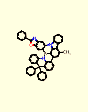 Cc1cc2c3c4c1c1ccccc1n4-c1cc4nc(-c5ccccc5)oc4cc1B3N1c3ccccc3C(c3ccccc3)(c3ccccc3)c3cccc-2c31